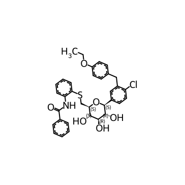 CCOc1ccc(Cc2cc([C@@H]3O[C@H](CSc4ccccc4NC(=O)c4ccccc4)[C@@H](O)[C@H](O)[C@H]3O)ccc2Cl)cc1